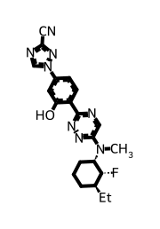 CC[C@H]1CCC[C@H](N(C)c2cnc(-c3ccc(-n4cnc(C#N)n4)cc3O)nn2)[C@@H]1F